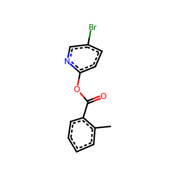 Cc1ccccc1C(=O)Oc1ccc(Br)cn1